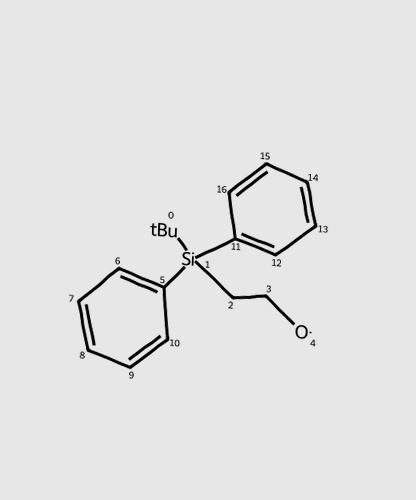 CC(C)(C)[Si](CC[O])(c1ccccc1)c1ccccc1